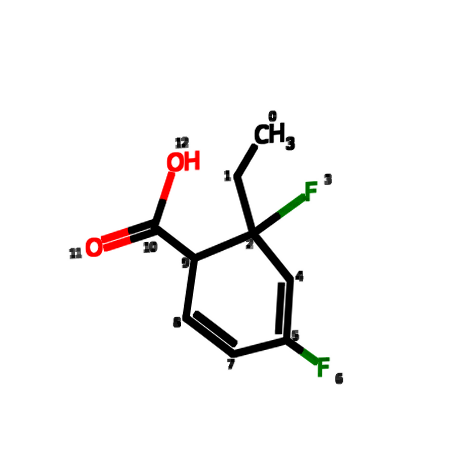 CCC1(F)C=C(F)C=CC1C(=O)O